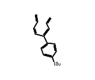 C=C/C=C\C(=C/C=C)c1ccc(C(C)(C)C)cc1